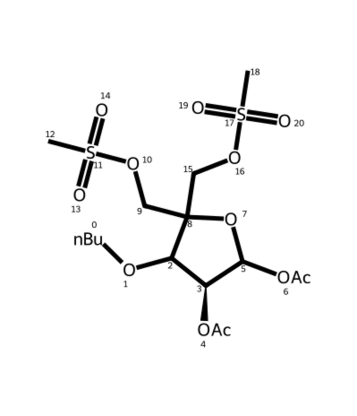 CCCCOC1[C@H](OC(C)=O)C(OC(C)=O)OC1(COS(C)(=O)=O)COS(C)(=O)=O